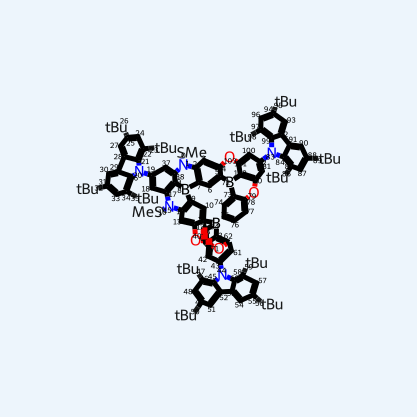 CSN1c2cc3c(cc2B2c4cc5c(cc4N(SC)c4cc(-n6c7c(C(C)(C)C)cc(C(C)(C)C)cc7c7cc(C(C)(C)C)cc(C(C)(C)C)c76)cc1c42)Oc1cc(-n2c4c(C(C)(C)C)cc(C(C)(C)C)cc4c4cc(C(C)(C)C)cc(C(C)(C)C)c42)cc2c1B5c1ccccc1O2)B1c2ccccc2Oc2cc(-n4c5c(C(C)(C)C)cc(C(C)(C)C)cc5c5cc(C(C)(C)C)cc(C(C)(C)C)c54)cc(c21)O3